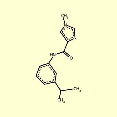 CC(C)c1cccc(NC(=O)c2cn(C)cn2)c1